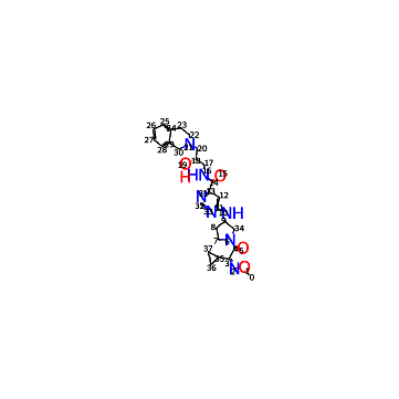 CO/N=C(\C(=O)N1CCC(Nc2cc(C(=O)NC[C@H](O)CN3CCc4ccccc4C3)ncn2)C1)C1CC1